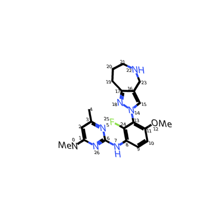 CNc1cc(C)nc(Nc2ccc(OC)c(-n3cc4c(n3)CCCNC4)c2F)n1